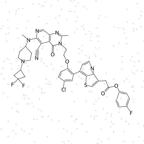 Cc1nc2cnc(N(C)C3CCN(C4CC(F)(F)C4)CC3)c(C#N)c2c(=O)n1CCOc1ccc(Cl)cc1-c1ccnc2c(CC(=O)Oc3ccc(F)cc3)csc12